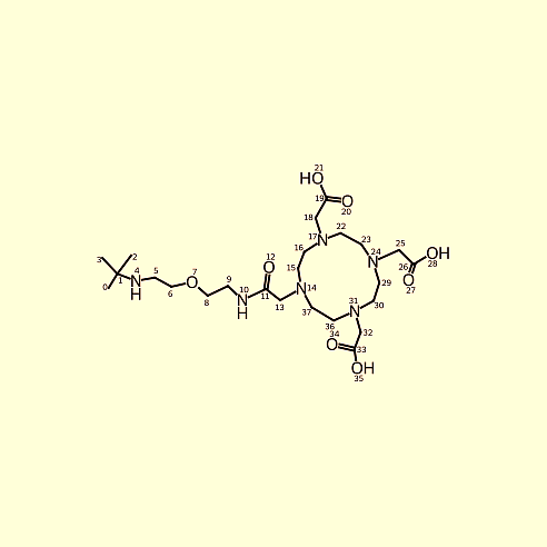 CC(C)(C)NCCOCCNC(=O)CN1CCN(CC(=O)O)CCN(CC(=O)O)CCN(CC(=O)O)CC1